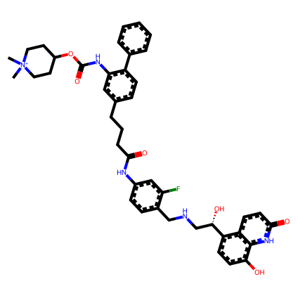 C[N+]1(C)CCC(OC(=O)Nc2cc(CCCC(=O)Nc3ccc(CNC[C@H](O)c4ccc(O)c5[nH]c(=O)ccc45)c(F)c3)ccc2-c2ccccc2)CC1